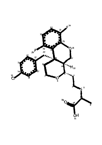 CC(SCC[C@@H]1OCC[C@@]2(Cc3ccc(Cl)cc3)c3c(F)ccc(F)c3OC[C@@H]12)C(=O)O